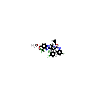 COC(=O)c1ccc2c(nc3n2C[C@H]2[C@@H]3[C@H](c3cccc(Cl)c3F)[C@@]3(Cc4ccc(Cl)cc4NC3=O)N2CC2CC2)c1C(F)(F)F